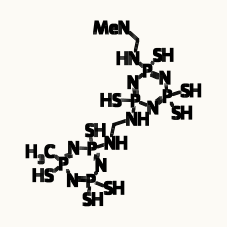 CNCNP1(S)=NP(S)(S)=NP(S)(NCNP2(S)=NP(S)(S)=NP(C)(S)=N2)=N1